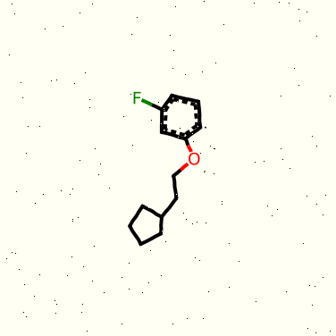 Fc1cc[c]c(OCCC2CCCC2)c1